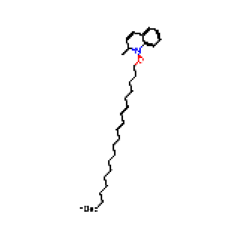 CCCCCCCCCCCCCCCCCCCCCCCCCCCCON1c2ccccc2C=CC1C